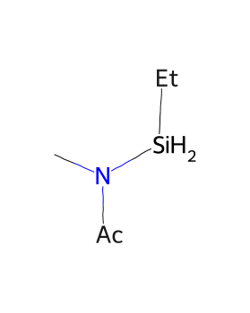 CC[SiH2]N(C)C(C)=O